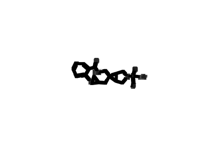 CCCS(=O)(=O)N1CC2C(C1)C2(CNC(=O)c1ccccc1F)CC1CC1